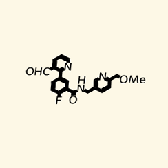 COCc1ccc(CNC(=O)c2cc(-c3ncccc3C=O)ccc2F)cn1